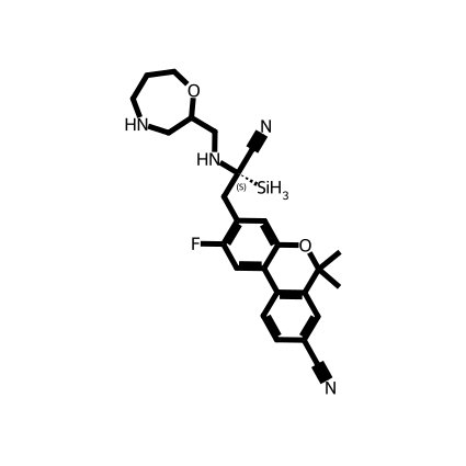 CC1(C)Oc2cc(C[C@]([SiH3])(C#N)NCC3CNCCCO3)c(F)cc2-c2ccc(C#N)cc21